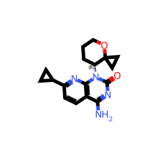 Nc1nc(=O)n([C@@H]2CCCOC23CC3)c2nc(C3CC3)ccc12